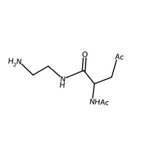 CC(=O)CC(NC(C)=O)C(=O)NCCN